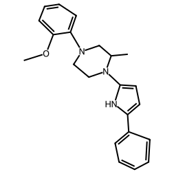 COc1ccccc1N1CCN(c2ccc(-c3ccccc3)[nH]2)C(C)C1